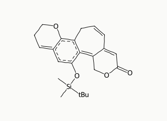 CC(C)(C)[Si](C)(C)Oc1cc2c(c3c1=C1COC(=O)C=C1C=CC3)OCCC=2